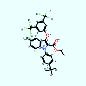 CCOC(=O)c1c(Oc2cc(C(F)(F)F)cc(C(F)(F)F)c2)c2cc(Cl)ccc2n1-c1ccc(C(C)(C)C)cc1